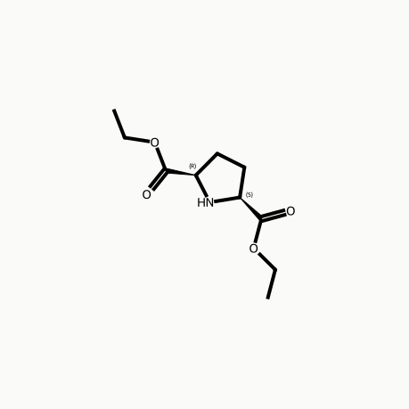 CCOC(=O)[C@@H]1CC[C@H](C(=O)OCC)N1